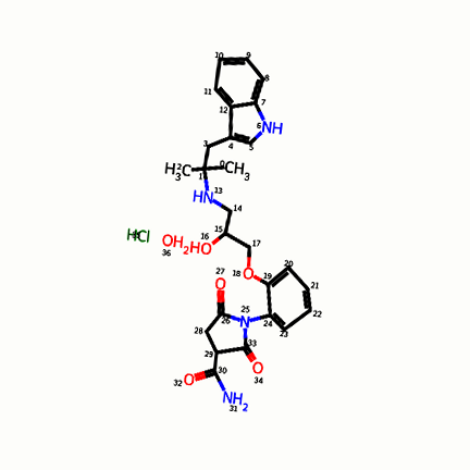 CC(C)(Cc1c[nH]c2ccccc12)NCC(O)COc1ccccc1N1C(=O)CC(C(N)=O)C1=O.Cl.O